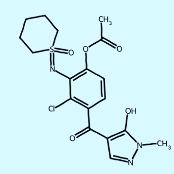 CC(=O)Oc1ccc(C(=O)c2cnn(C)c2O)c(Cl)c1N=S1(=O)CCCCC1